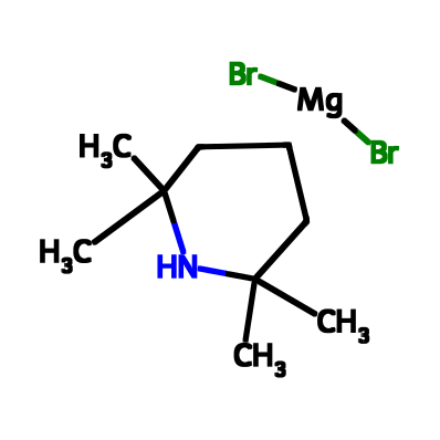 CC1(C)CCCC(C)(C)N1.[Br][Mg][Br]